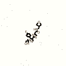 CC(C)(CO)n1ncc(-c2nc(CC(=O)NCC3CCOCC3)cs2)c1-c1ccc(F)cc1